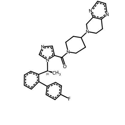 C[C@@H](c1ccccc1-c1ccc(F)cc1)n1cncc1C(=O)N1CCC(N2CCc3nccnc3C2)CC1